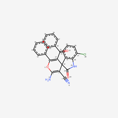 N#CC1=C(N)OC(c2ccccc2)=C(C(=O)c2ccccc2)C12C(=O)Nc1c(Cl)cccc12